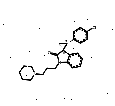 O=C1N(CCCN2CCCCC2)c2ccccc2[C@@]12C[C@@H]2c1ccc(Cl)cc1